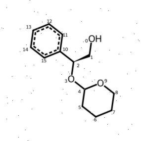 OC[C@@H](OC1CCCCO1)c1ccccc1